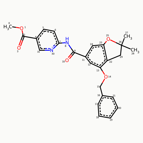 COC(=O)c1ccc(NC(=O)c2cc(OCc3ccccc3)c3c(c2)OC(C)(C)C3)nc1